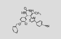 CC1=C(c2nc(-c3ccc(C#N)cc3)cs2)C(c2ccc(OCc3ccccc3)c(Cl)c2)NC(=O)N1